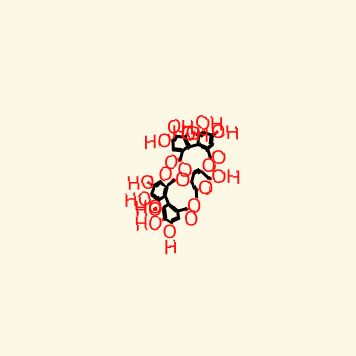 O=C1OCC2OC(O)c3oc(=O)c4cc(O)c(O)c(O)c4c4c(O)c(O)c(O)cc4c(=O)oc3C2OC(=O)c2cc(O)c(O)c(O)c2-c2c1cc(O)c(O)c2O